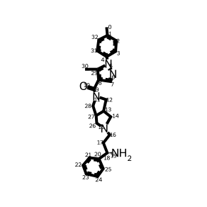 Cc1ccc(-n2ncc(C(=O)N3CC4CN(CC[C@H](N)c5ccccc5)CC4C3)c2C)cc1